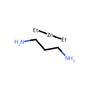 C[CH2][Zn][CH2]C.NCCCN